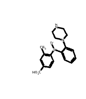 Cc1cc(C(=O)O)ccc1[S+]([O-])c1ccccc1N1CCNCC1